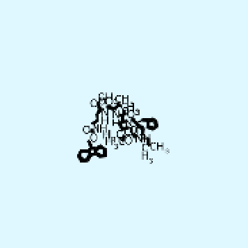 COC(=O)C(CCCNC(=O)OCC1c2ccccc2-c2ccccc21)NC(=O)C(NC(=O)C1CCCN1C(=O)[C@H](/C=C/[C@H](CC(C)C)NC(=O)OC(C)(C)C)Cc1ccccc1)C(C)C